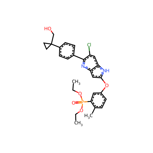 CCOP(=O)(OCC)c1cc(Oc2cc3nc(-c4ccc(C5(CO)CC5)cc4)c(Cl)cc3[nH]2)ccc1C